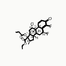 CCOC(=O)[C@@]1(OC(=O)CC)[C@H](C)C[C@H]2[C@@H]3C[C@H](F)C4=C(F)C(=O)C=C[C@]4(C)[C@@]3(Cl)[C@@H](Cl)C[C@@]21C